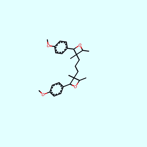 COc1ccc(C2OC(C)C2(C)CCCC2(C)C(C)OC2c2ccc(OC)cc2)cc1